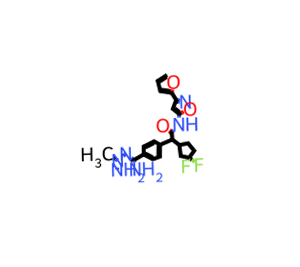 CN(N)/N=C(\N)c1ccc(C(C(=O)Nc2cc(-c3ccco3)no2)C2CCC(F)(F)C2)cc1